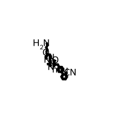 CCCCc1nc(C)n(-c2ncc(OCCCN)cn2)c(=O)c1Cc1ccc(-c2ccccc2C#N)cc1